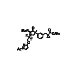 CNNC(=O)C(C)(CCC(F)(F)COc1ccn(C(C)=O)n1)c1cccc(CC2(C(=O)OC)CC2)c1